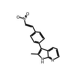 Cc1[nH]c2ncccc2c1-c1ccc(/C=C/[N+](=O)[O-])cc1